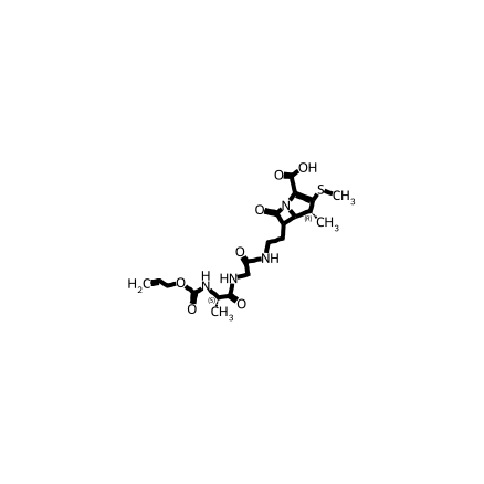 C=CCOC(=O)N[C@@H](C)C(=O)NCC(=O)NCCC1C(=O)N2C(C(=O)O)=C(SC)[C@H](C)C12